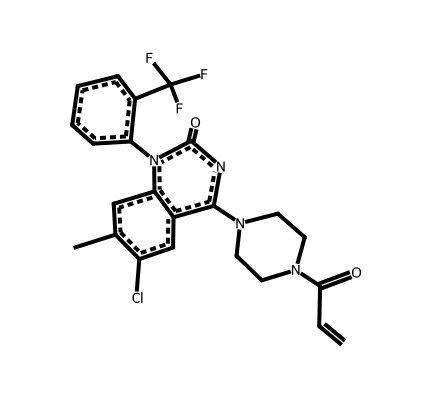 C=CC(=O)N1CCN(c2nc(=O)n(-c3ccccc3C(F)(F)F)c3cc(C)c(Cl)cc23)CC1